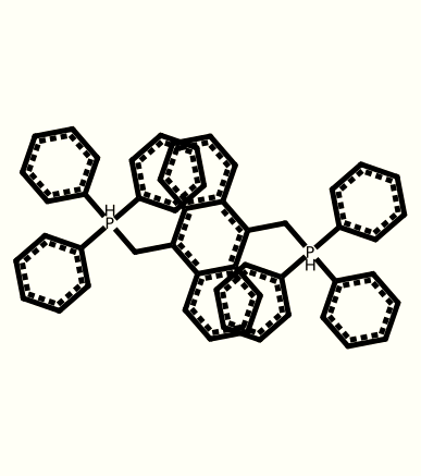 c1ccc([PH](Cc2c3ccccc3c(C[PH](c3ccccc3)(c3ccccc3)c3ccccc3)c3ccccc23)(c2ccccc2)c2ccccc2)cc1